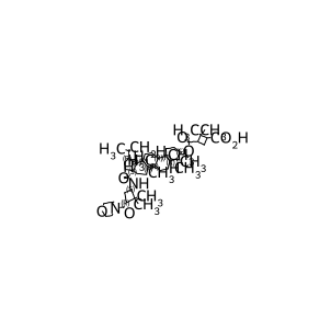 C=C(C)[C@@H]1CC[C@]2(C(=O)N[C@H]3C[C@@H](C(=O)N4CCOCC4)C3(C)C)CC[C@]3(C)[C@H](CC[C@@H]4[C@@]5(C)CC[C@H](OC(=O)C6CC(C(=O)O)C6(C)C)C(C)(C)[C@@H]5CC[C@]43C)[C@@H]12